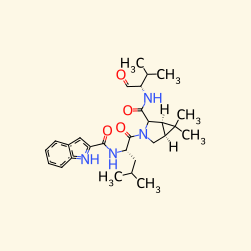 CC(C)C[C@H](NC(=O)c1cc2ccccc2[nH]1)C(=O)N1C[C@H]2[C@@H](C1C(=O)N[C@H](C=O)C(C)C)C2(C)C